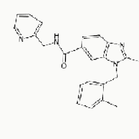 Cc1ccccc1Cn1c(C)nc2ccc(C(=O)NCc3ccccn3)cc21